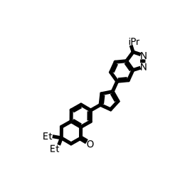 CCC1(CC)CC(=O)c2cc(C3=CC(c4ccc5c(c4)N=NC5C(C)C)=CC3)ccc2C1